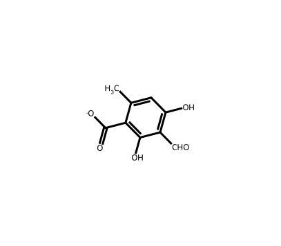 Cc1cc(O)c(C=O)c(O)c1C([O])=O